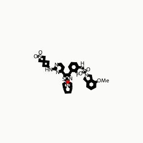 COc1cccc2c1CN(S(=O)(=O)Nc1cccc(-c3nc(N4C5CCC4CN(C)C5)sc3-c3ccnc(NC4CC5(C4)CS(=O)(=O)C5)n3)c1F)C2